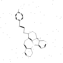 COc1ccc(C=CCC2CC[C@H]3C4=C2CC=C2C=CCCC2N4C2=CC=NC[C@@H]23)cc1